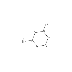 CC1CC[CH]C(Br)C1